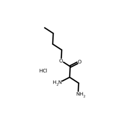 CCCCOC(=O)C(N)CN.Cl